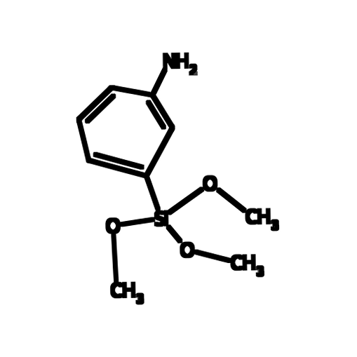 CO[Si](OC)(OC)c1cccc(N)c1